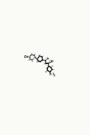 CCN1CCN(c2ccc(C(=O)/C=C(\O)c3ccc(N)cc3)cc2)CC1